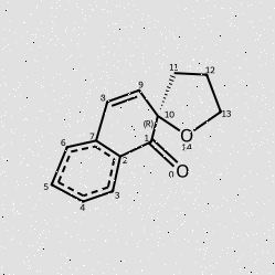 O=C1c2ccccc2C=C[C@]12CCCO2